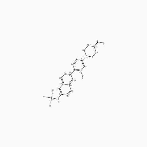 CC[C@H]1CC[C@H](c2ccc(-c3ccc4cc(OC(F)(F)F)ccc4c3)c(F)c2)CC1